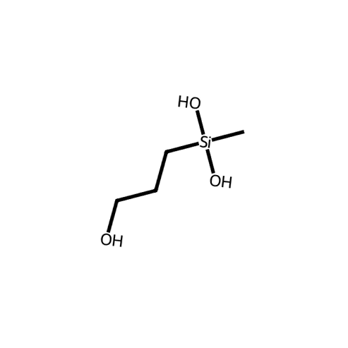 C[Si](O)(O)CCCO